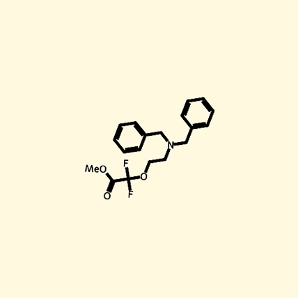 COC(=O)C(F)(F)OCCN(Cc1ccccc1)Cc1ccccc1